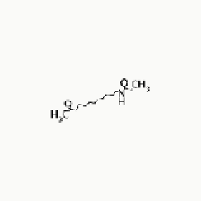 CCC(=O)NCCCCCCCCCCC(C)=O